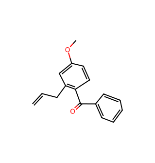 C=CCc1cc(OC)ccc1C(=O)c1ccccc1